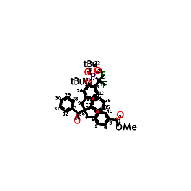 COC(=O)c1ccc(CC(Cc2ccc(C(F)(F)P(=O)(OC(C)(C)C)OC(C)(C)C)cc2)(C(=O)c2ccccc2)c2ccccc2)cc1